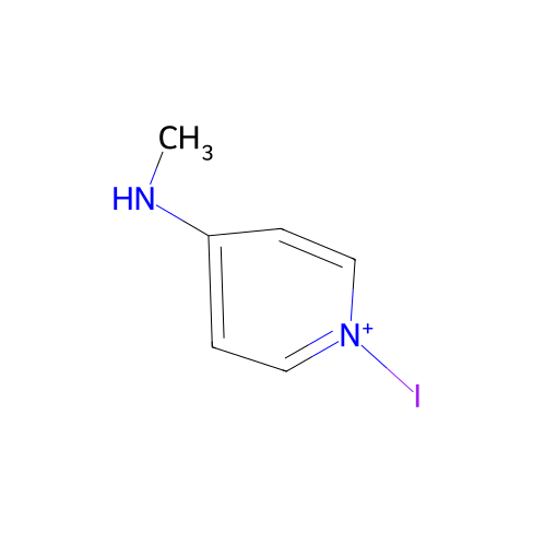 CNc1cc[n+](I)cc1